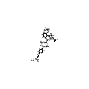 CCOC(=O)C#Cc1ccc(/C2=C/[C@H](C)C[C@@H](OCc3c(-c4ccccc4OC(F)(F)F)noc3C3CC3)C[C@H](C)C2)cc1